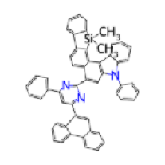 C[Si]1(C)c2ccccc2-c2ccc3c(-c4nc(-c5ccccc5)cc(-c5cc6ccccc6c6ccccc56)n4)cc4c(c5ccccc5n4-c4ccccc4)c3c21